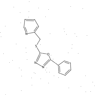 c1ccc(-c2nnc(SCc3ccccn3)o2)cc1